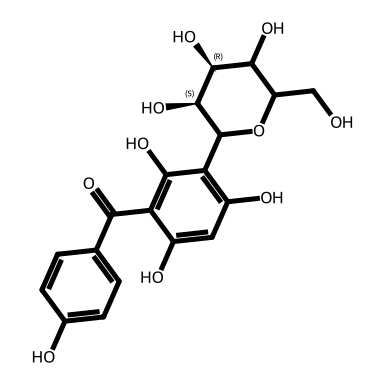 O=C(c1ccc(O)cc1)c1c(O)cc(O)c(C2OC(CO)C(O)[C@H](O)[C@@H]2O)c1O